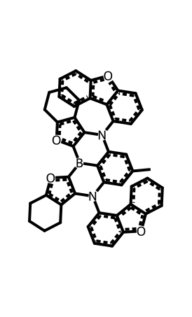 Cc1cc2c3c(c1)N(c1cccc4oc5ccccc5c14)c1c(oc4c1CCCC4)B3c1oc3c(c1N2c1cccc2oc4ccccc4c12)CCCC3